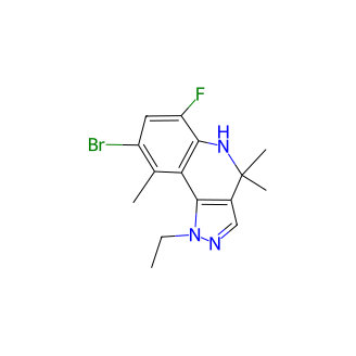 CCn1ncc2c1-c1c(C)c(Br)cc(F)c1NC2(C)C